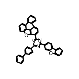 c1ccc(-c2ccc(-c3nc(-c4ccc5c(c4)oc4ccccc45)nc(-c4ccc5c6ccccc6c6cccc7oc4c5c76)n3)cc2)cc1